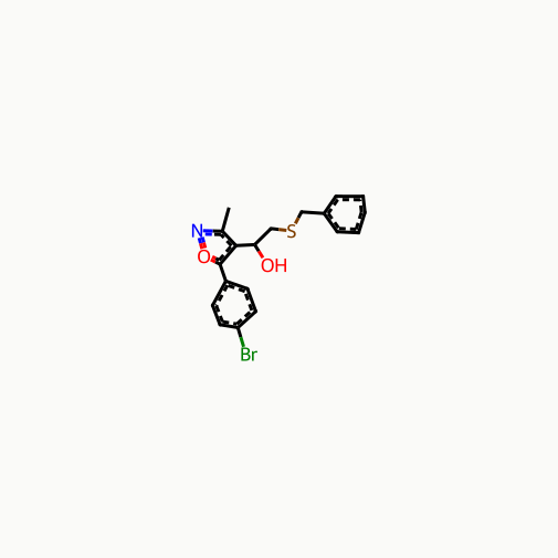 Cc1noc(-c2ccc(Br)cc2)c1C(O)CSCc1ccccc1